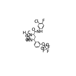 CN1C(C(=O)Nc2ccc(F)c(Cl)c2)CC(c2cccc(OS(=O)(=O)C(F)(F)F)c2)NS1(=O)=O